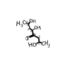 CC(O)CC(=O)[C@H](O)C[C@@H](C)O